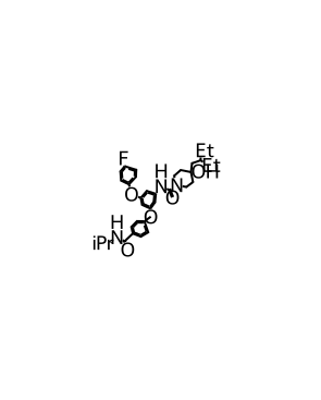 CCC(CC)CC1(O)CCN(C(=O)Nc2cc(Oc3ccc(F)cc3)cc(Oc3ccc(C(=O)NC(C)C)cc3)c2)CC1